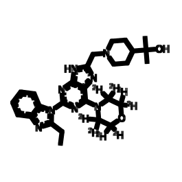 [2H]C1([2H])OC([2H])([2H])C([2H])([2H])N(c2nc(-n3c(CC)nc4ccccc43)nc3[nH]c(CN4CCC(C(C)(C)O)CC4)nc23)C1([2H])[2H]